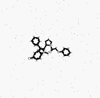 Cn1c(C2CCCN2C(=O)COc2ccccc2)c(-c2ccccc2)c2cc(Cl)ccc21